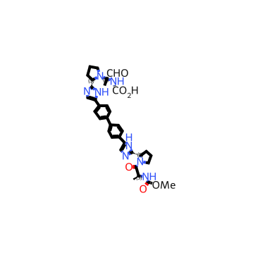 COC(=O)N[C@@H](C)C(=O)N1CCC[C@H]1c1ncc(-c2ccc(-c3ccc(-c4cnc([C@@H]5CCCN5[C@](C)(C=O)NC(=O)O)[nH]4)cc3)cc2)[nH]1